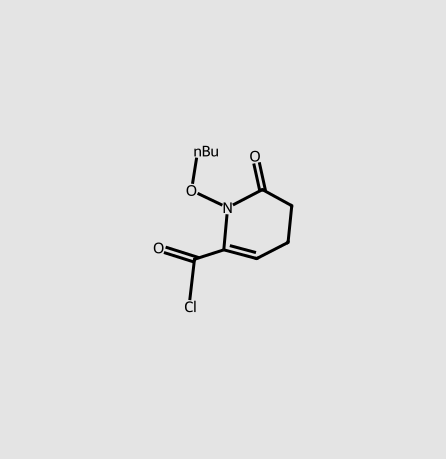 CCCCON1C(=O)CCC=C1C(=O)Cl